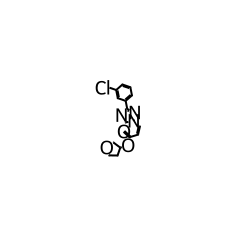 O=C(/C=C\n1cnc(-c2cccc(Cl)c2)n1)OC1CCOC1